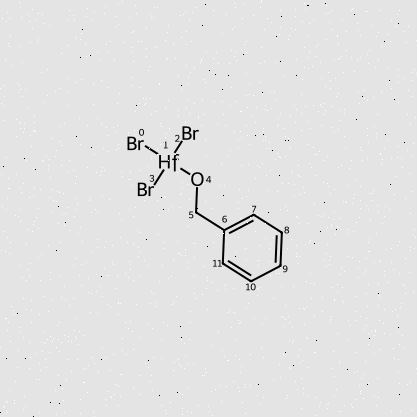 [Br][Hf]([Br])([Br])[O]Cc1ccccc1